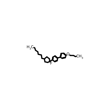 CCCCCCCC1CCC(F)(c2ccc(-c3ccc(OCCCC)cc3)cc2)CC1